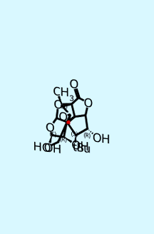 C[C@@H]1COC(CO)CC23C4OC(=O)C12OC1O[C@H](O)[C@H](O)C13[C@H](C(C)(C)C)[C@H]4O